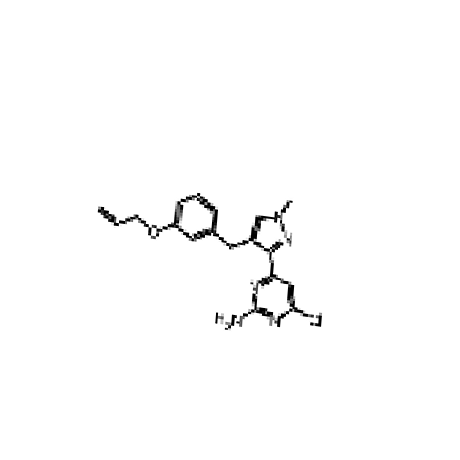 C=CCOc1cccc(Cc2cn(C)nc2-c2cc(Cl)nc(N)n2)c1